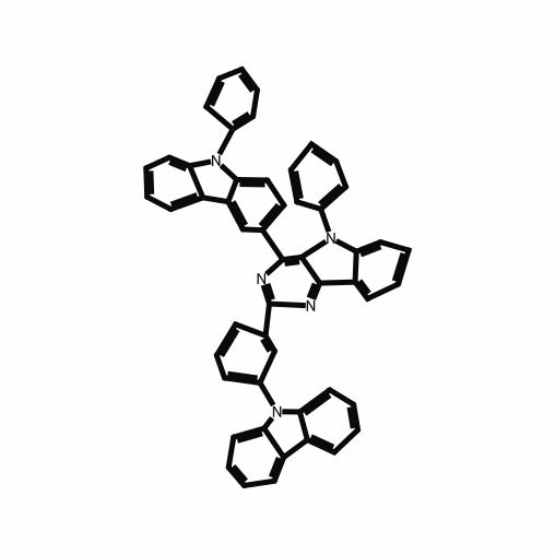 c1ccc(-n2c3ccccc3c3cc(-c4nc(-c5cccc(-n6c7ccccc7c7ccccc76)c5)nc5c6ccccc6n(-c6ccccc6)c45)ccc32)cc1